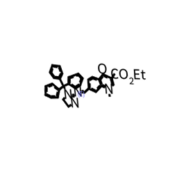 CCOC(=O)c1cn(C)c2cc(/C=N/C3=NCCN3C(c3ccccc3)(c3ccccc3)c3ccccc3)ccc2c1=O